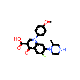 COc1ccc(-n2cc(C(=O)O)c(=O)c3cc(F)c(N4CCNCC4C)cc32)cc1